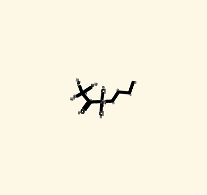 CCC[CH2][Sn]([Cl])([Cl])[C](=O)C(F)(F)F